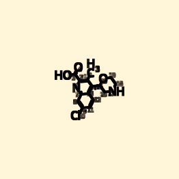 Cc1c(C(=O)O)nc2cc(Cl)ccc2c1C1CNCCO1